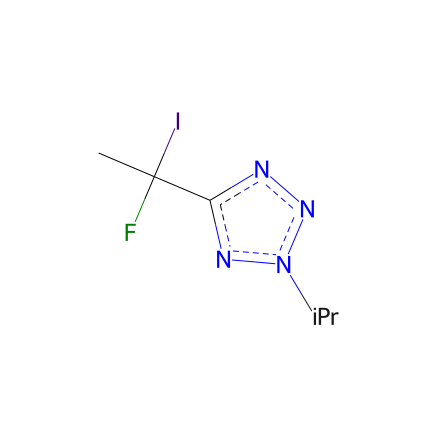 CC(C)n1nnc(C(C)(F)I)n1